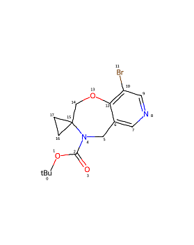 CC(C)(C)OC(=O)N1Cc2cncc(Br)c2OCC12CC2